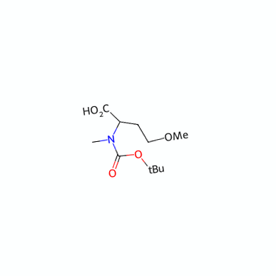 COCCC(C(=O)O)N(C)C(=O)OC(C)(C)C